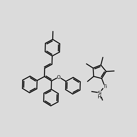 CC1=C(C)C(C)[C]([Ti][SiH](C)C)=C1C.Cc1ccc(C=CC(=C(Oc2ccccc2)c2ccccc2)c2ccccc2)cc1